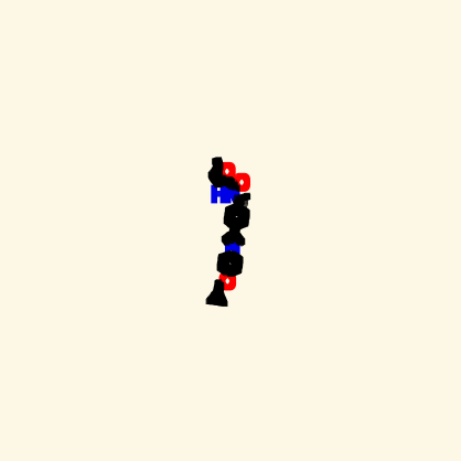 Cc1ccc(C(=O)N[C@@H](C)c2ccc(C3CN(c4ccc(OCC5CC5)cc4)C3)cc2)o1